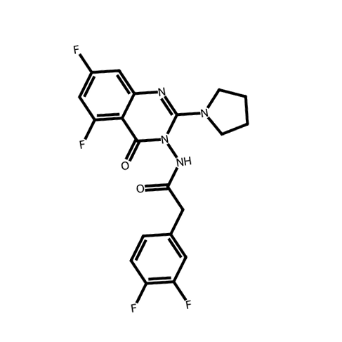 O=C(Cc1ccc(F)c(F)c1)Nn1c(N2CCCC2)nc2cc(F)cc(F)c2c1=O